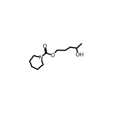 CC(O)CCCOC(=O)N1CCCCC1